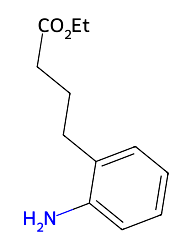 CCOC(=O)CCCc1ccccc1N